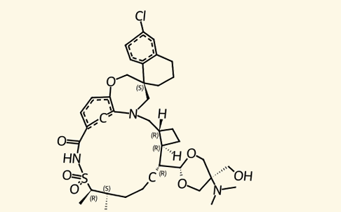 C[C@@H]1[C@@H](C)CCC[C@@H]([C@H]2OC[C@](CO)(N(C)C)CO2)[C@@H]2CC[C@H]2CN2C[C@@]3(CCCc4cc(Cl)ccc43)COc3ccc(cc32)C(=O)NS1(=O)=O